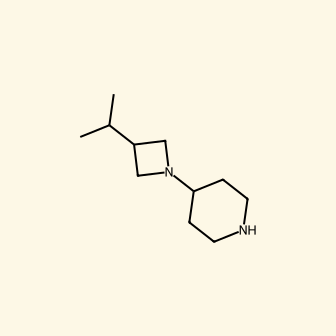 CC(C)C1CN(C2CCNCC2)C1